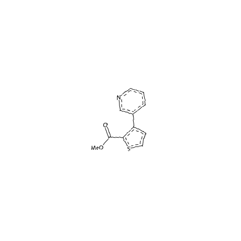 COC(=O)c1sccc1-c1cccnc1